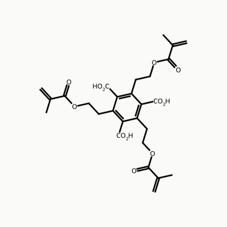 C=C(C)C(=O)OCCc1c(C(=O)O)c(CCOC(=O)C(=C)C)c(C(=O)O)c(CCOC(=O)C(=C)C)c1C(=O)O